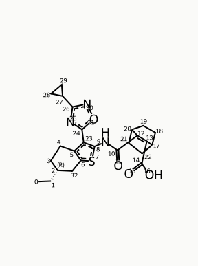 CC[C@@H]1CCc2c(sc(NC(=O)C3=C(C(=O)O)C4CCC3CC4)c2-c2nc(C3CC3)no2)C1